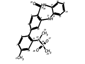 Cc1ccc(-c2ccc3c(c2)Nc2ccccc2NC3=O)c(N(C)S(C)(=O)=O)c1